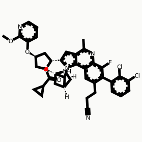 COc1ncccc1O[C@H]1C[C@H](c2cc3c(C)nc4c(F)c(-c5cccc(Cl)c5Cl)c(CCC#N)cc4c3n2[C@H]2[C@H]3CN[C@@H]2C3)N(C(=O)C2CC2)C1